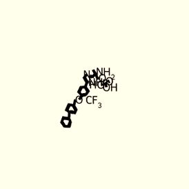 CC(N)(COP(=O)(O)O)c1ncc(-c2ccc(OCc3ccc(-c4ccccc4)cc3)c(C(F)(F)F)c2)[nH]1